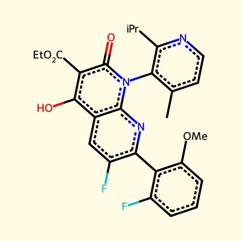 CCOC(=O)c1c(O)c2cc(F)c(-c3c(F)cccc3OC)nc2n(-c2c(C)ccnc2C(C)C)c1=O